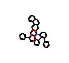 c1ccc(-c2cccc(N(c3ccc4c(ccc5ccccc54)c3)c3cccc(-c4ccccc4)c3-c3ccccc3-c3ccccc3)c2)cc1